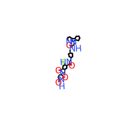 O=C(Cn1c2ccccc2c2cccnc21)NCc1ccc(CNC(=O)c2cc3c(cc2F)C(=O)N(C2CCC(=O)NC2=O)C3)cc1